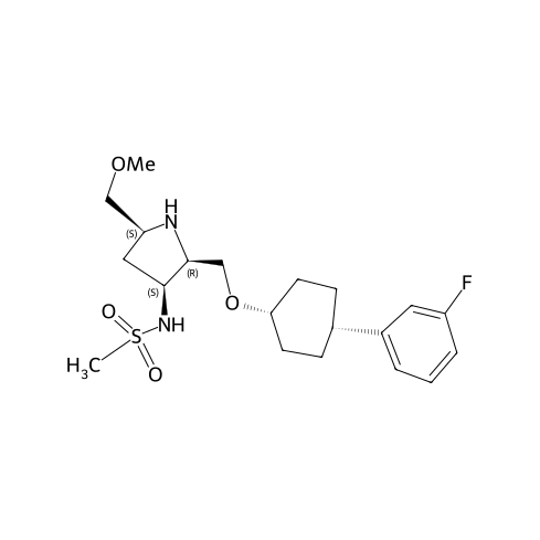 COC[C@@H]1C[C@H](NS(C)(=O)=O)[C@H](CO[C@H]2CC[C@@H](c3cccc(F)c3)CC2)N1